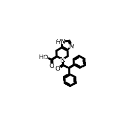 O=C(O)C1Cc2[nH]cnc2CN1C(=O)C(c1ccccc1)c1ccccc1